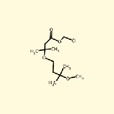 COC(C)(C)CCOC(C)(C)CC(=O)OCCl